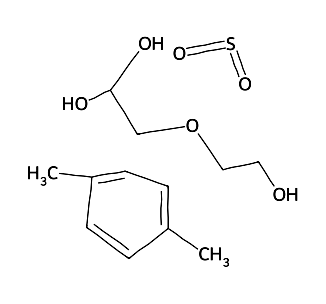 Cc1ccc(C)cc1.O=S=O.OCCOCC(O)O